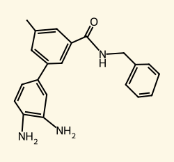 Cc1cc(C(=O)NCc2ccccc2)cc(-c2ccc(N)c(N)c2)c1